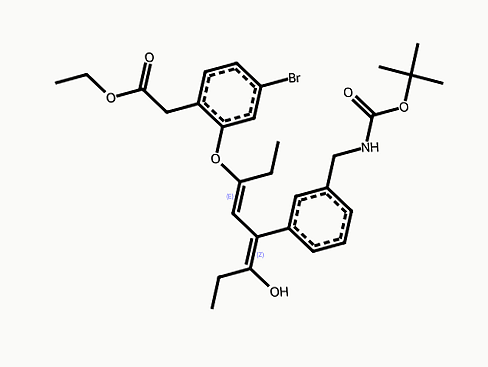 CCOC(=O)Cc1ccc(Br)cc1O/C(=C/C(=C(/O)CC)c1cccc(CNC(=O)OC(C)(C)C)c1)CC